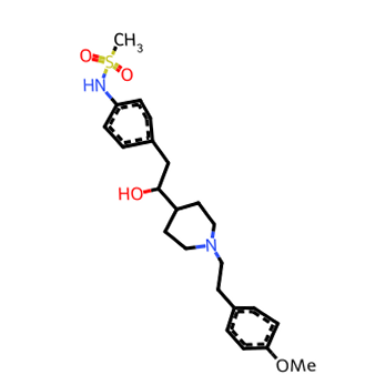 COc1ccc(CCN2CCC(C(O)Cc3ccc(NS(C)(=O)=O)cc3)CC2)cc1